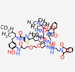 CC[C@H](C)[C@H](NC(=O)C(C)(C)N(C)C)C(=O)N(C)[C@H](C[C@@H](OC(C)=O)c1nc(C(=O)N[C@@H](Cc2ccc(O)c(NC(=O)CCOCCOCCNP(=O)(NCCN3C(=O)c4c(c5ccc4o5)C3=O)NCCN3C(=O)c4c(c5ccc4o5)C3=O)c2)CC(C)C(=O)O)cs1)C(C)C